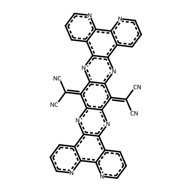 N#CC(C#N)=c1c2nc3c4cccnc4c4ncccc4c3nc2c(=C(C#N)C#N)c2nc3c4cccnc4c4ncccc4c3nc12